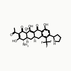 CC(=O)C1=C(O)[C@@H](N)[C@@H]2C[C@@H]3Cc4c(c(O)cc(C5CCCN5)c4C(F)(F)F)C(=O)C3=C(O)[C@]2(O)C1=O